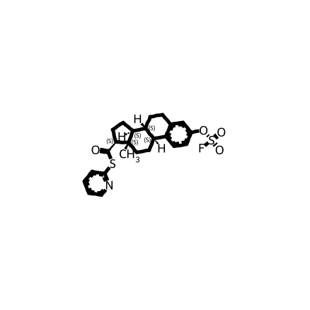 C[C@]12CC[C@@H]3c4ccc(OS(=O)(=O)F)cc4CC[C@H]3[C@@H]1CC[C@@H]2C(=O)Sc1ccccn1